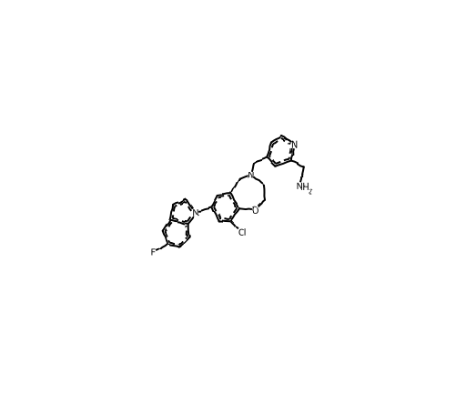 NCc1cc(CN2CCOc3c(Cl)cc(-n4ccc5cc(F)ccc54)cc3C2)ccn1